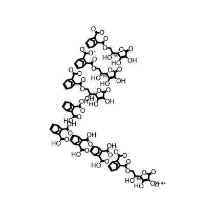 O=C(O)C1C2C=CC(C2)C1C(=O)O.O=C(O)C1C2C=CC(C2)C1C(=O)O.O=C(O)C1C2C=CC(C2)C1C(=O)O.O=C(O)C1C2C=CC(C2)C1C(=O)O.O=C1O[C@H]([C@@H](O)COC(=O)C2C3C=CC(C3)C2C(=O)[O-])C(O)=C1O.O=C1O[C@H]([C@@H](O)COC(=O)C2C3C=CC(C3)C2C(=O)[O-])C(O)=C1O.O=C1O[C@H]([C@@H](O)COC(=O)C2C3C=CC(C3)C2C(=O)[O-])C(O)=C1O.O=C1O[C@H]([C@@H](O)COC(=O)C2C3C=CC(C3)C2C(=O)[O-])C(O)=C1O.[Zr+4]